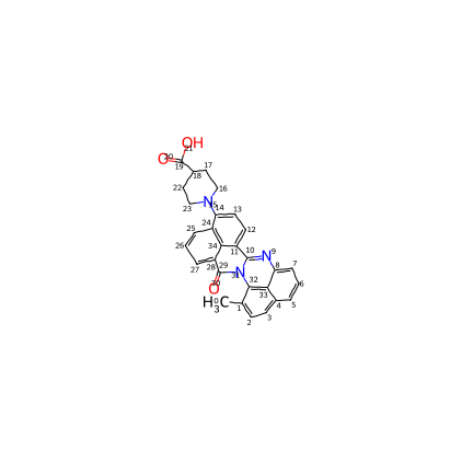 Cc1ccc2cccc3nc4c5ccc(N6CCC(C(=O)O)CC6)c6cccc(c(=O)n4c1c23)c65